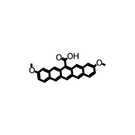 COc1ccc2cc3cc4cc5ccc(OC)cc5cc4c(C(=O)O)c3cc2c1